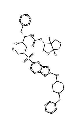 CC(C)CN(C[C@@H](O)[C@H](Cc1ccccc1)NC(=O)O[C@H]1CO[C@H]2OCC[C@H]21)S(=O)(=O)c1ccc2nc(NC3CCN(Cc4ccccc4)CC3)sc2c1